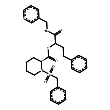 O=C(NCc1cccnc1)C(CCc1ccccc1)OC(=O)[C@@H]1CCCCN1S(=O)(=O)Cc1ccccc1